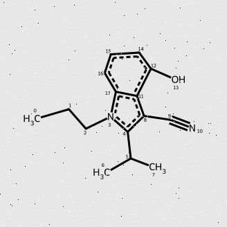 CCCn1c(C(C)C)c(C#N)c2c(O)cccc21